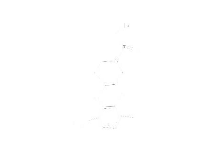 Cc1c(F)ccc(C(=O)O)c1OC1CCN(C(=O)OC(C)(C)C)CC1